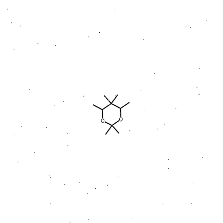 CC1OC(C)(C)OC(C)C1(C)C